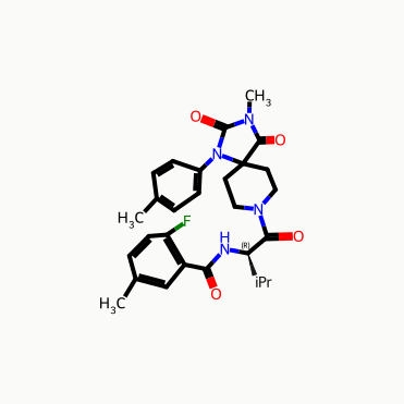 Cc1ccc(N2C(=O)N(C)C(=O)C23CCN(C(=O)[C@H](NC(=O)c2cc(C)ccc2F)C(C)C)CC3)cc1